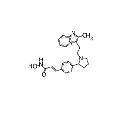 Cc1nc2ccccn2c1CCN1CCCC1c1ccc(C=CC(=O)NO)cc1